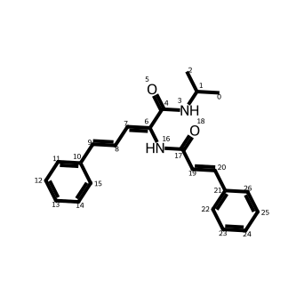 CC(C)NC(=O)/C(=C/C=C/c1ccccc1)NC(=O)/C=C/c1ccccc1